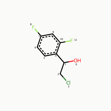 OC(CCl)c1ccc(F)cc1F